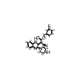 N#CC(C(=O)OCc1cccc(F)c1)=C1Nc2ccccc2N=C1N1CCNCC1